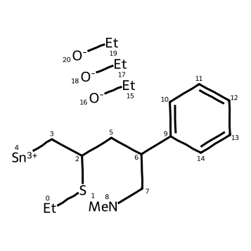 CCSC([CH2][Sn+3])CC(CNC)c1ccccc1.CC[O-].CC[O-].CC[O-]